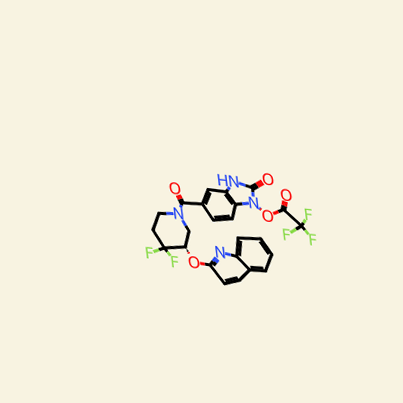 O=C(c1ccc2c(c1)[nH]c(=O)n2OC(=O)C(F)(F)F)N1CCC(F)(F)[C@@H](Oc2ccc3ccccc3n2)C1